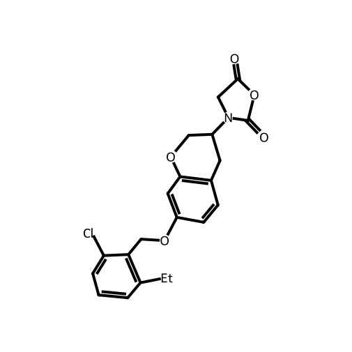 CCc1cccc(Cl)c1COc1ccc2c(c1)OCC(N1CC(=O)OC1=O)C2